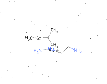 C=C=C(C)C.CCCCCN.NCCN